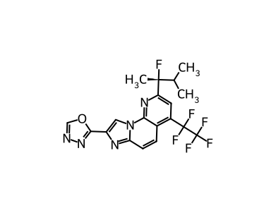 CC(C)[C@@](C)(F)c1cc(C(F)(F)C(F)(F)F)c2ccc3nc(-c4nnco4)cn3c2n1